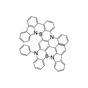 c1ccc(N2c3ccccc3B3c4c2cc2c(c4-c4cccc5c6ccccc6n3c45)N(c3ccccc3)c3cccc4c3B2n2c3ccccc3c3cccc-4c32)cc1